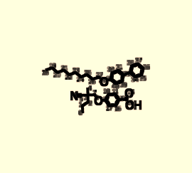 CCCC(C)(C#N)COc1ccc(C(=O)O)cc1.CCCCCCCCCCOc1ccc(-c2ccccc2)cc1